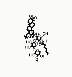 CCCCCCC(=O)N[C@@H]1C(O)C(O[C@@H]2O[C@H](C)[C@H](O[C@@H]3OC[C@@H](O)C(O)C3O)C(O)C2O)[C@H](OC(=O)[C@]23CCC(C)(C)CC2C2=CCC4C5(C)CC[C@H](O)[C@](C)(C=O)C5CC[C@@]4(C)[C@]2(C)C[C@H]3O)O[C@@H]1CO